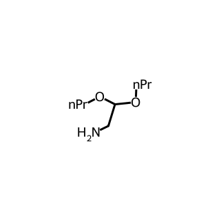 CCCOC(CN)OCCC